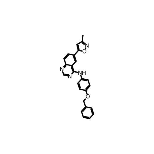 Cc1cc(-c2ccc3ncnc(Nc4ccc(OCc5ccccc5)cc4)c3c2)on1